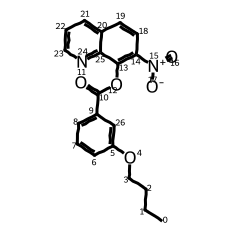 CCCCOc1cccc(C(=O)Oc2c([N+](=O)[O-])ccc3cccnc23)c1